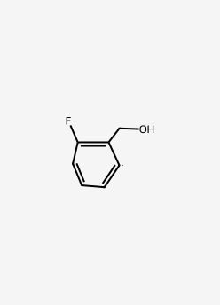 OCc1[c]cccc1F